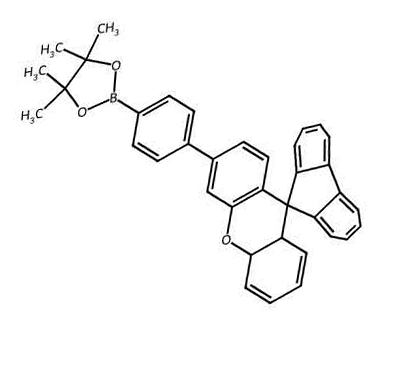 CC1(C)OB(c2ccc(-c3ccc4c(c3)OC3C=CC=CC3C43c4ccccc4-c4ccccc43)cc2)OC1(C)C